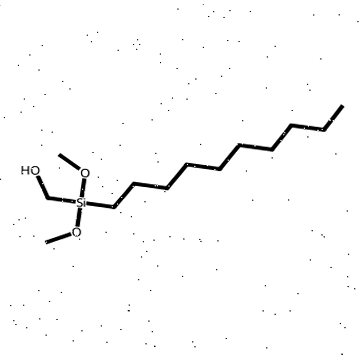 CCCCCCCCCC[Si](CO)(OC)OC